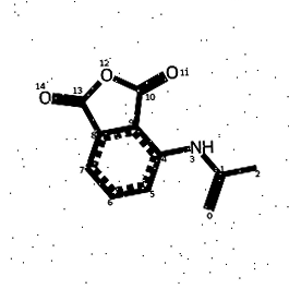 C=C(C)Nc1cccc2c1C(=O)OC2=O